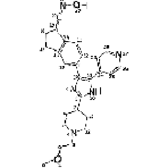 COCCN1CCC(c2nc(-c3ccc4c(c3)CCC4=C=NO)c(-c3ccncc3)[nH]2)CC1